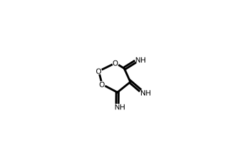 N=c1oooc(=N)c1=N